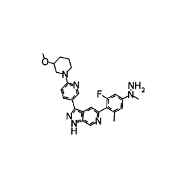 COC1CCCN(c2ccc(-c3n[nH]c4cnc(-c5c(C)cc(N(C)N)cc5F)cc34)cn2)C1